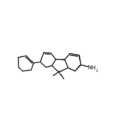 CC1(C)C2CC(N)C=CC2C2C=CC(C3=CCCCC3)CC21